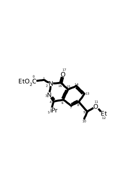 CCOC(=O)Cn1nc(C(C)C)c2cc(C(C)OCC)ccc2c1=O